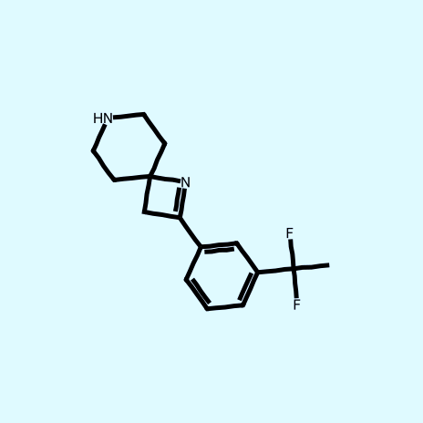 CC(F)(F)c1cccc(C2=NC3(CCNCC3)C2)c1